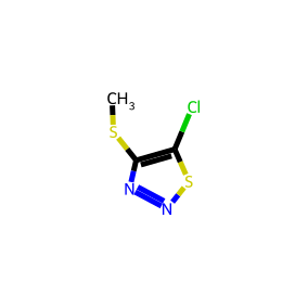 CSc1nnsc1Cl